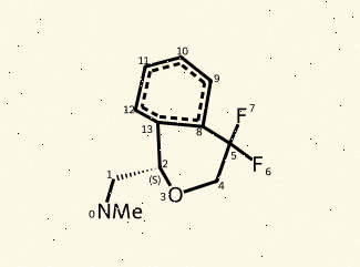 CNC[C@H]1OCC(F)(F)c2ccccc21